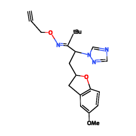 C#CCON=C(C(CC1Cc2cc(OC)ccc2O1)n1cncn1)C(C)(C)C